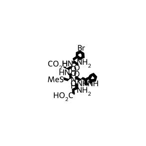 CSCC[C@H](NC(=O)[C@@H](Cc1c[nH]c2ccccc12)NC(=O)[C@@H](N)CCC(=O)O)C(=O)N[C@@H](CC(=O)O)C(=O)N[C@@H](Cc1cccc(Br)c1)C(N)=O